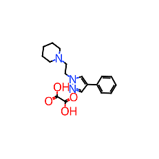 O=C(O)C(=O)O.c1ccc(-c2cnn(CCN3CCCCC3)c2)cc1